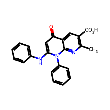 Cc1nc2c(cc1C(=O)O)c(=O)cc(Nc1ccccc1)n2-c1ccccc1